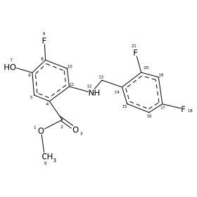 COC(=O)c1cc(O)c(F)cc1NCc1ccc(F)cc1F